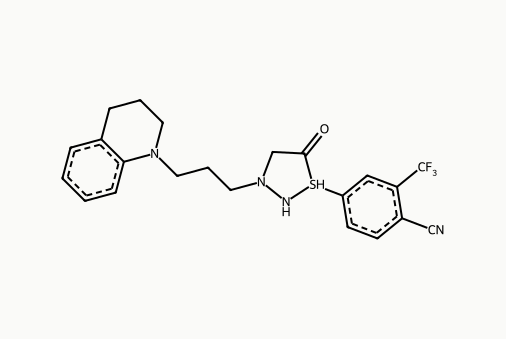 N#Cc1ccc([SH]2NN(CCCN3CCCc4ccccc43)CC2=O)cc1C(F)(F)F